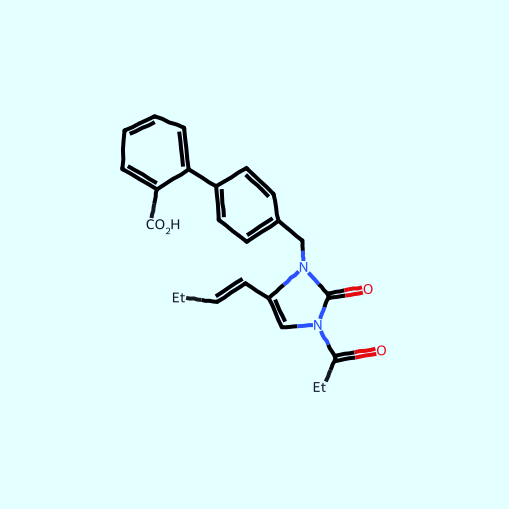 CCC=Cc1cn(C(=O)CC)c(=O)n1Cc1ccc(-c2ccccc2C(=O)O)cc1